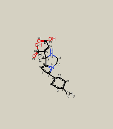 Cc1ccc(-c2ccc3n2CCNC3(C)C(=CC(=O)O)C(=O)O)cc1